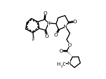 CN1CCC[C@H]1C(=O)OCCN1C(=O)CCC(N2C(=O)c3cccc(F)c3C2=O)C1=O